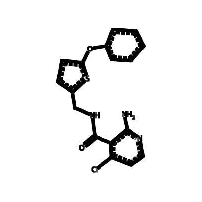 Nc1nccc(Cl)c1C(=O)NCc1ccc(Oc2ccccc2)s1